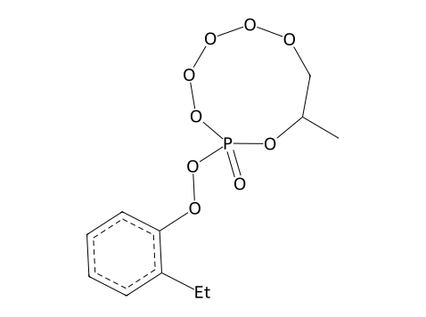 CCc1ccccc1OOP1(=O)OOOOOCC(C)O1